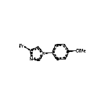 COc1ccc(-n2cnc(C(C)C)c2)cc1